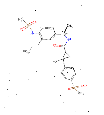 C[C@@H](NC(=O)C1CC1(C)c1ccc(S(=O)(=O)C(F)(F)F)cc1)c1ccc(NS(C)(=O)=O)c(CCC(=O)O)c1